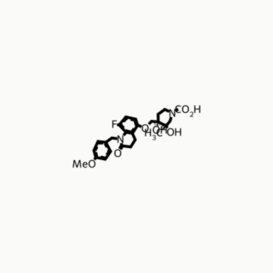 COc1ccc(CN2C(=O)CCc3c(OC[C@@]4(O)CCN(C(=O)O)C[C@]4(C)O)ccc(F)c32)cc1